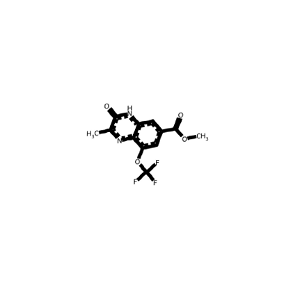 COC(=O)c1cc(OC(F)(F)F)c2nc(C)c(=O)[nH]c2c1